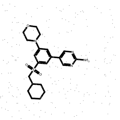 Nc1ncc(-c2cc(N3CCOCC3)cc(S(=O)(=O)CC3CCCCC3)c2)cn1